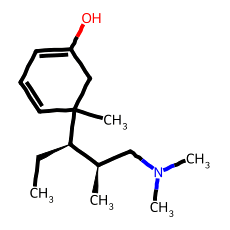 CC[C@H]([C@H](C)CN(C)C)C1(C)C=CC=C(O)C1